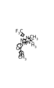 Cc1nc2nc(N3CCO[C@H](c4cnn(C)c4)C3)nc([C@H]3C[C@@H](C(F)(F)F)C3)c2nc1C